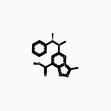 COC(=O)c1cc(N(C)[C@@H](C)c2ccccc2)nn2c(C)nnc12